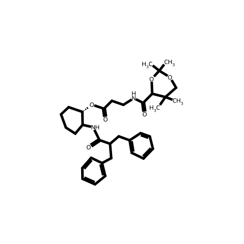 CC1(C)OCC(C)(C)C(C(=O)NCCC(=O)O[C@H]2CCCCC2NC(=O)C(Cc2ccccc2)Cc2ccccc2)O1